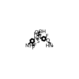 CNCCOc1ccc(N(C(=S)Nc2ccc(C#N)c(C(F)(F)F)c2)C(C)(C)C(=O)O)cc1F